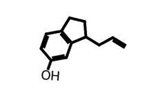 C=CCC1CCc2ccc(O)cc21